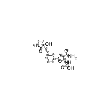 CN1CC[C@@](O)(C#Cc2cccc(-c3nc(C(N)=O)c(NC(=O)O)o3)c2)C1=O